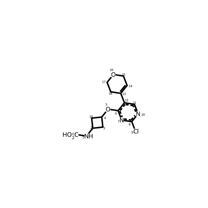 O=C(O)NC1CC(Oc2nc(Cl)ncc2C2=CCOCC2)C1